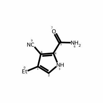 CCc1c[nH]c(C(N)=O)c1C#N